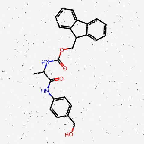 CC(NC(=O)OCC1c2ccccc2-c2ccccc21)C(=O)Nc1ccc(CO)cc1